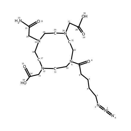 [N-]=[N+]=NCCCCC(=O)N1CCN(CC(=O)O)CCN(CC(N)=O)CCN(CC(=O)O)CC1